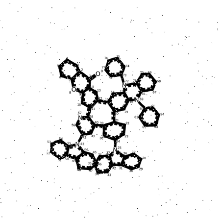 O=c1c2ccccc2oc2cc3c(cc12)c1cc2c(cc1c1ccc(-n4c5ccccc5c5ccccc54)cc1c1cc(-n4c5ccccc5c5ccccc54)cnc13)n(-c1ccccc1)c1ccccc1n2-c1ccccc1